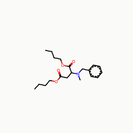 CCCCOC(=O)CC(C(=O)OCCCC)N(C)Cc1ccccc1